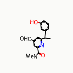 CNC(=O)c1cc(C=O)cc(C(C)c2cccc(O)c2)n1